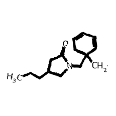 [CH2]C1(CN2CC(CCC)CC2=O)C=CC=CC1